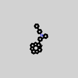 c1ccc(-c2ccc(-n3c4ccccc4c4cc(-c5cc6c7c8c5Cc5ccc9c(c5-8)-c5c(ccc8c5-c5c(ccc(c5-7)C6)C8)C9)ccc43)cc2)cc1